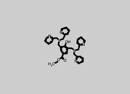 CCOC(=O)c1cc(CN(Cc2ccccn2)Cc2ccccn2)c(O)c(CN(Cc2ccccn2)Cc2ccccn2)c1